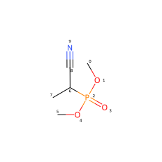 COP(=O)(OC)C(C)C#N